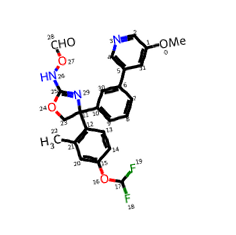 COc1cncc(-c2cccc(C3(c4ccc(OC(F)F)cc4C)COC(NOC=O)=N3)c2)c1